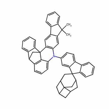 CC1(C)c2ccccc2-c2cc3c(cc21)N(c1ccc2c(c1)C1(c4ccccc4-2)C2CC4CC5CC1CC45C2)c1cccc2c1C31CC2c2ccccc21